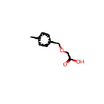 Cc1ccc(COCC(=O)O)cc1